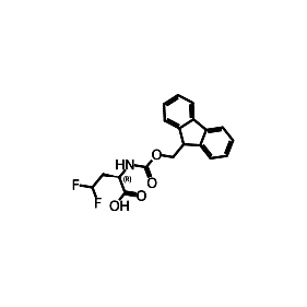 O=C(N[C@H](CC(F)F)C(=O)O)OCC1c2ccccc2-c2ccccc21